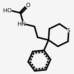 O=C(O)NCCC1(c2ccccc2)CCSCC1